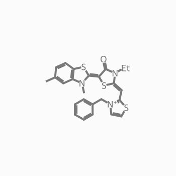 CCn1c(=O)/c(=C2\Sc3ccc(C)cc3N2C)s/c1=C\c1scc[n+]1Cc1ccccc1